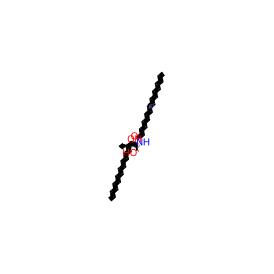 CCCCCCCC/C=C/CCCCCCCC(=O)N[C@@H](CO)[C@H](O)[C@H](CC)CCCCCCCCCCCCCC